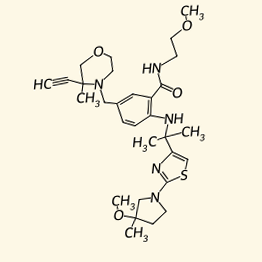 C#CC1(C)COCCN1Cc1ccc(NC(C)(C)c2csc(N3CCC(C)(OC)C3)n2)c(C(=O)NCCOC)c1